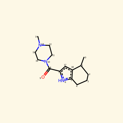 CC1CCCc2[nH]c(C(=O)N3CCN(C)CC3)cc21